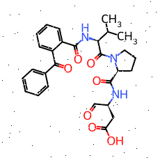 CC(C)[C@H](NC(=O)c1ccccc1C(=O)c1ccccc1)C(=O)N1CCC[C@H]1C(=O)N[C@H](C=O)CC(=O)O